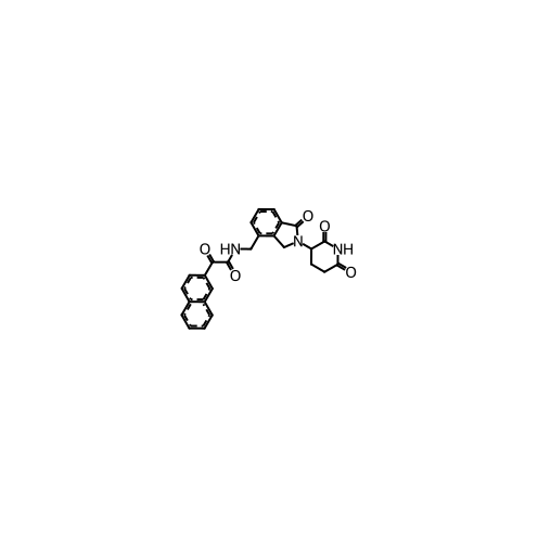 O=C1CCC(N2Cc3c(CNC(=O)C(=O)c4ccc5ccccc5c4)cccc3C2=O)C(=O)N1